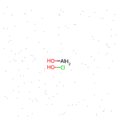 OCl.[OH][AlH2]